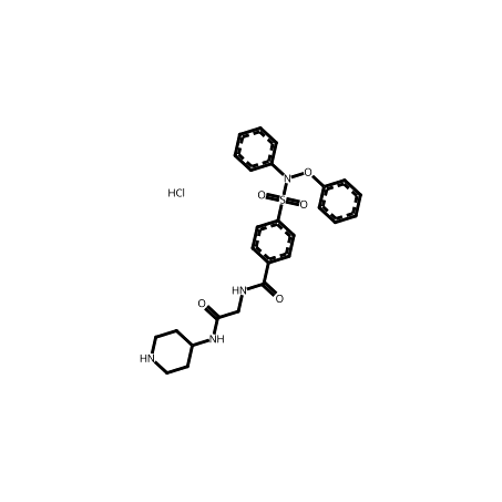 Cl.O=C(CNC(=O)c1ccc(S(=O)(=O)N(Oc2ccccc2)c2ccccc2)cc1)NC1CCNCC1